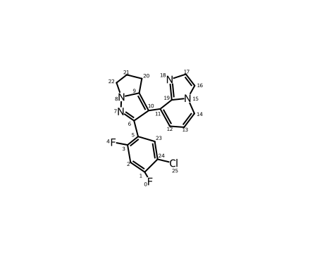 Fc1cc(F)c(-c2nn3c(c2-c2cccn4ccnc24)CCC3)cc1Cl